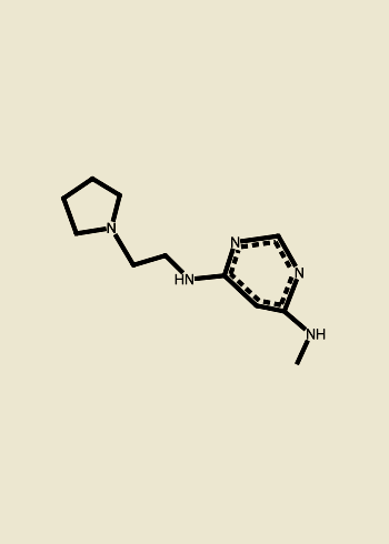 CNc1cc(NCCN2CCCC2)ncn1